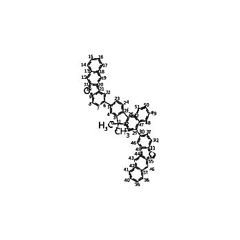 CC1(C)c2cc(-c3ccc4oc5cc6ccccc6cc5c4c3)ccc2-c2c1cc(-c1ccc3oc4cc5ccccc5cc4c3c1)c1ccccc21